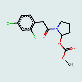 COC(=O)OC1CCCN1C(=O)Cc1ccc(Cl)cc1Cl